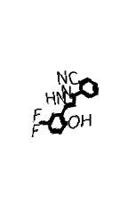 N#Cc1ccccc1-c1cc(-c2cc(C(F)F)ccc2O)[nH]n1